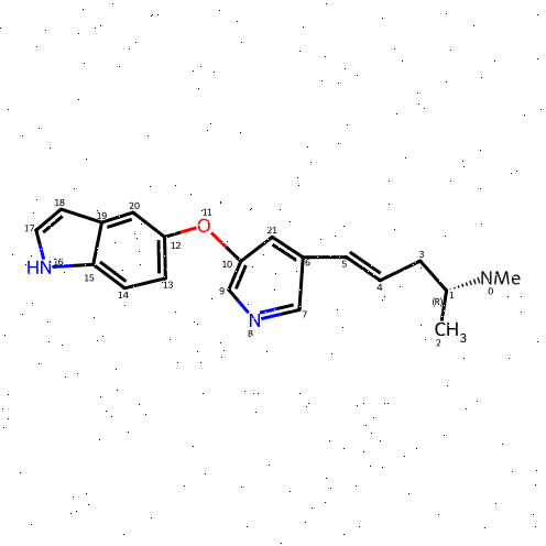 CN[C@H](C)CC=Cc1cncc(Oc2ccc3[nH]ccc3c2)c1